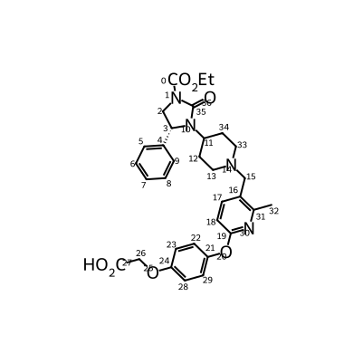 CCOC(=O)N1C[C@@H](c2ccccc2)N(C2CCN(Cc3ccc(Oc4ccc(OCC(=O)O)cc4)nc3C)CC2)C1=O